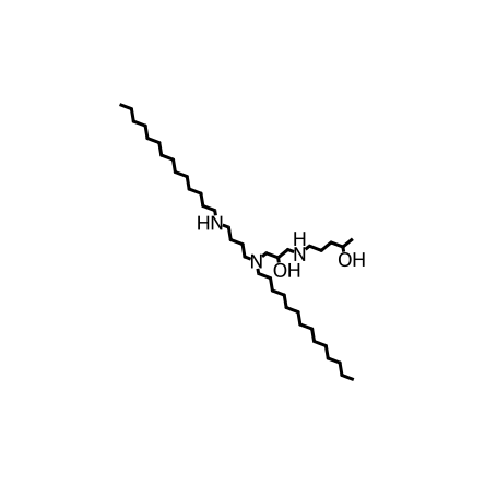 CCCCCCCCCCCCCCNCCCCN(CCCCCCCCCCCCCC)CC(O)CNCCCC(C)O